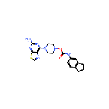 Nc1nc(N2CCN(OC(=O)Nc3ccc4c(c3)CCC4)CC2)c2ncsc2n1